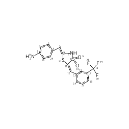 Nc1ccc(/C=C2/NS(=O)(=O)/C(=C\c3cccc(C(F)(F)F)c3)S2)cc1